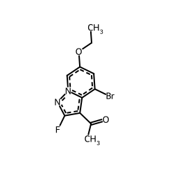 CCOc1cc(Br)c2c(C(C)=O)c(F)nn2c1